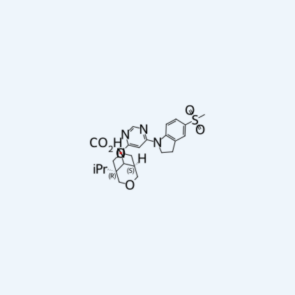 CC(C)[C@]12COC[C@H](CN(C(=O)O)C1)C2Oc1cc(N2CCc3cc(S(C)(=O)=O)ccc32)ncn1